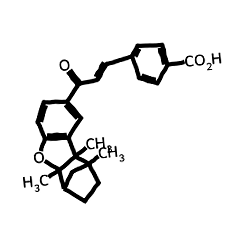 CC12CCC(C1)C1(C)Oc3ccc(C(=O)C=Cc4ccc(C(=O)O)cc4)cc3C21C